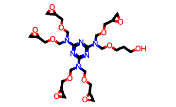 OCCCOCN(COCC1CO1)c1nc(N(COCC2CO2)COCC2CO2)nc(N(COCC2CO2)COCC2CO2)n1